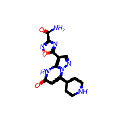 NC(=O)c1noc(-c2cnn3c(C4CCNCC4)cc(=O)[nH]c23)n1